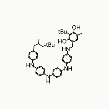 Cc1cc(CNc2ccc(Nc3ccc(Nc4ccc(Nc5ccc(CC(C)CC(C)(C)C)cc5)cc4)cc3)cc2)c(O)c(C(C)(C)C)c1O